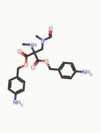 CNC(CN(C)[C]=O)(C(=O)OCc1ccc(N)cc1)C(=O)OCc1ccc(N)cc1